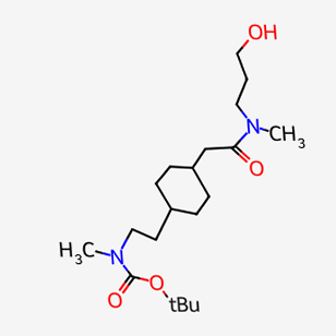 CN(CCCO)C(=O)CC1CCC(CCN(C)C(=O)OC(C)(C)C)CC1